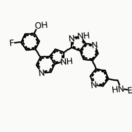 CCNCc1cncc(-c2cnc3[nH]nc(-c4cc5c(-c6cc(O)cc(F)c6)cncc5[nH]4)c3c2)c1